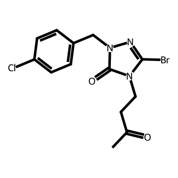 CC(=O)CCn1c(Br)nn(Cc2ccc(Cl)cc2)c1=O